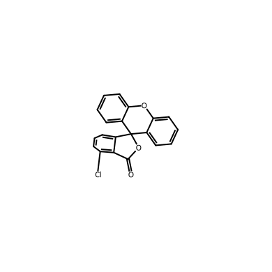 O=C1OC2(c3ccccc3Oc3ccccc32)c2cccc(Cl)c21